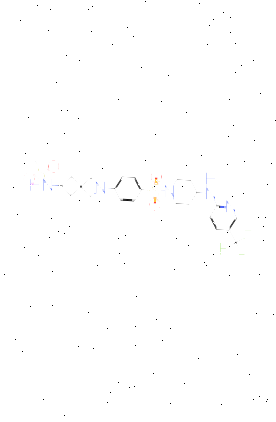 CS(=O)(=O)NC1CC2(C1)CN(c1ccc(S(=O)(=O)N3CCC(Nc4ccc(C(F)(F)F)cn4)CC3)cc1)C2